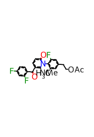 CNc1c(C(=O)c2ccc(F)cc2F)ccc(=O)n1-c1c(C)cc(CCOC(C)=O)cc1F